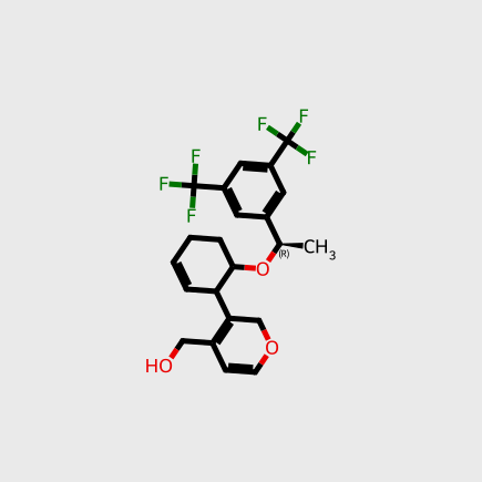 C[C@@H](OC1CCC=CC1C1=C(CO)C=COC1)c1cc(C(F)(F)F)cc(C(F)(F)F)c1